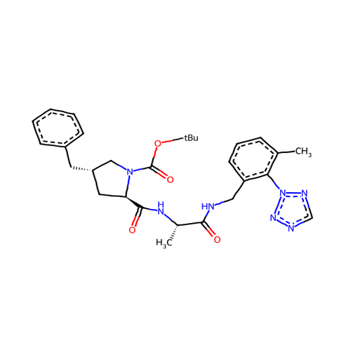 Cc1cccc(CNC(=O)[C@H](C)NC(=O)[C@H]2C[C@H](Cc3ccccc3)CN2C(=O)OC(C)(C)C)c1-n1ncnn1